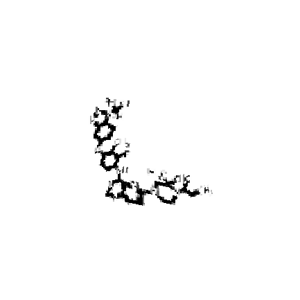 [2H]C([2H])([2H])n1nnc2cc(Oc3ccc(Nc4ncnc5ccc(N6CCN(C(=O)C=C)C(C)(C)C6)nc45)c(F)c3C)ccc21